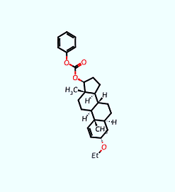 CCO[C@@H]1C=C[C@@]2(C)[C@@H](CC[C@@H]3[C@@H]2CC[C@]2(C)[C@@H](OC(=O)Oc4ccccc4)CC[C@@H]32)C1